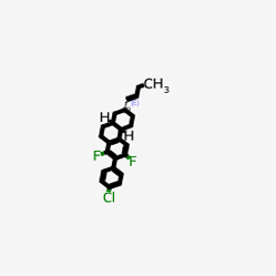 CC/C=C/[C@@H]1CC[C@@H]2c3cc(F)c(-c4ccc(Cl)cc4)c(F)c3CC[C@@H]2C1